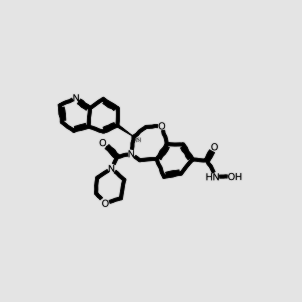 O=C(NO)c1ccc2c(c1)OC[C@H](c1ccc3ncccc3c1)N(C(=O)N1CCOCC1)C2